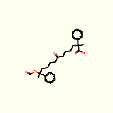 CC(CCCCC(=O)CCCCC(C)(C(=O)O)c1ccccc1)(OC=O)c1ccccc1